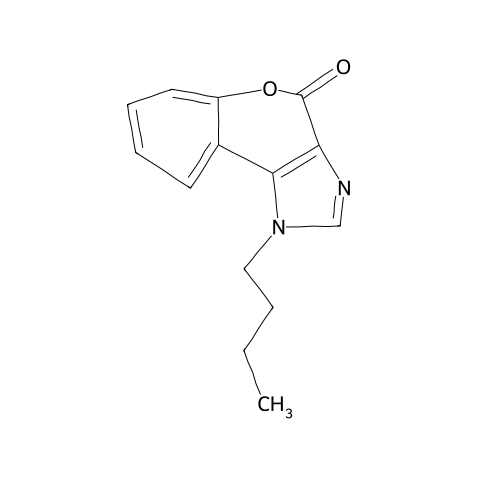 CCCCn1cnc2c(=O)oc3ccccc3c21